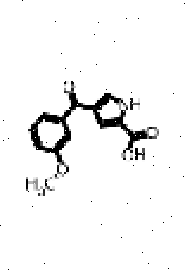 COc1cccc(C(=O)c2c[nH]c(C(=O)O)c2)c1